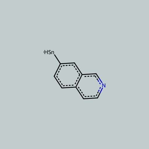 [SnH][c]1ccc2ccncc2c1